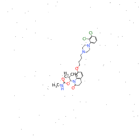 CNC(=O)OC(C(C)C)N1C(=O)CCc2ccc(OCCCCN3CCN(c4cccc(Cl)c4Cl)CC3)cc21